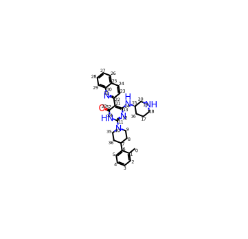 Cc1ccccc1C1CCN(c2nc(N[C@@H]3CCCNC3)c(-c3ccc4ccccc4n3)c(=O)[nH]2)CC1